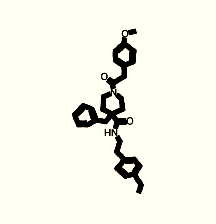 CCc1ccc(CCNC(=O)C2(Cc3ccccc3)CCN(C(=O)Cc3ccc(OC)cc3)CC2)cc1